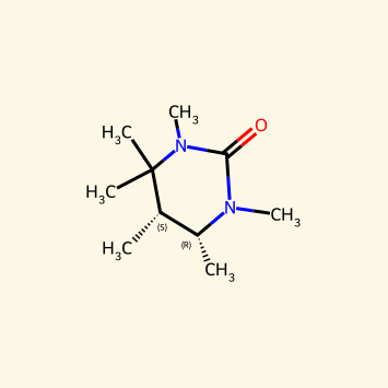 C[C@@H]1[C@H](C)C(C)(C)N(C)C(=O)N1C